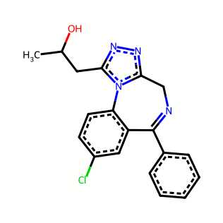 CC(O)Cc1nnc2n1-c1ccc(Cl)cc1C(c1ccccc1)=NC2